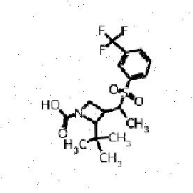 CC(C1CN(C(=O)O)C1C(C)(C)C)S(=O)(=O)c1cccc(C(F)(F)F)c1